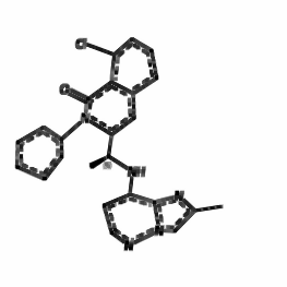 Cc1cn2nccc(N[C@@H](C)c3cc4cccc(Cl)c4c(=O)n3-c3ccccc3)c2n1